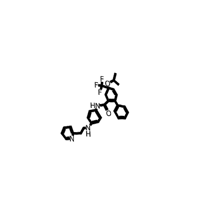 CC(C)OC1(C(F)(F)F)C=CC(c2ccccc2)=C(C(=O)Nc2ccc(NCCc3ccccn3)cc2)C1